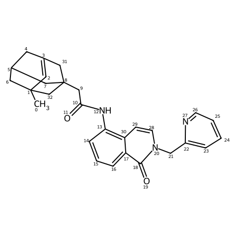 CC12C=C3CC(C1)CC(CC(=O)Nc1cccc4c(=O)n(Cc5ccccn5)ccc14)(C3)C2